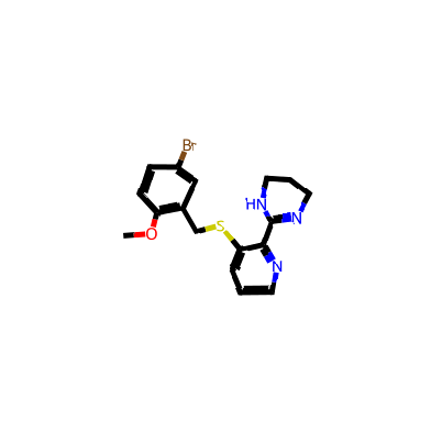 COc1ccc(Br)cc1CSc1cccnc1C1=NCCCN1